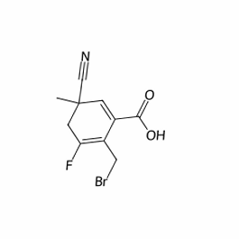 CC1(C#N)C=C(C(=O)O)C(CBr)=C(F)C1